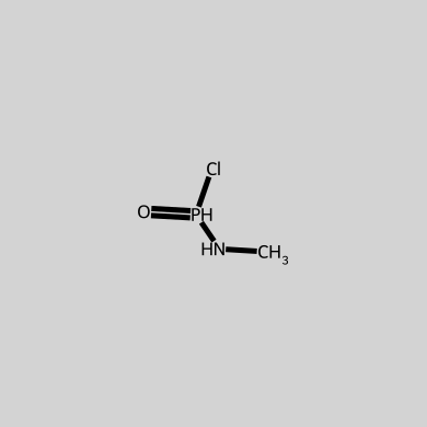 CN[PH](=O)Cl